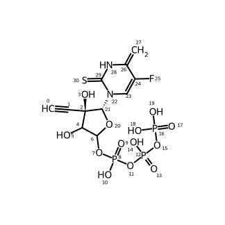 C#C[C@@]1(O)C(O)C(OP(=O)(O)OP(=O)(O)OP(=O)(O)O)O[C@H]1N1C=C(F)C(=C)NC1=S